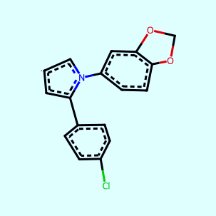 Clc1ccc(-c2c[c]cn2-c2ccc3c(c2)OCO3)cc1